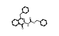 O=C(Nn1nc(Cc2ccccc2)c2ccccc2c1=O)OCc1ccccc1